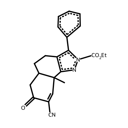 CCOC(=O)n1nc2c(c1-c1ccccc1)CCC1CC(=O)C(C#N)=CC21C